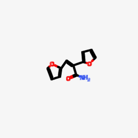 NC(=O)C(=Cc1ccco1)c1ccco1